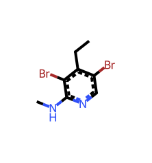 CCc1c(Br)cnc(NC)c1Br